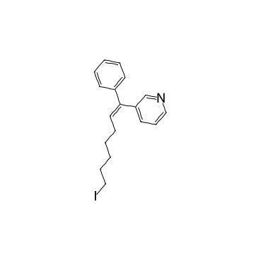 ICCCCCC=C(c1ccccc1)c1cccnc1